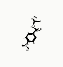 CC(C)C(C)OC(=O)c1ccc(N(C)C)cc1